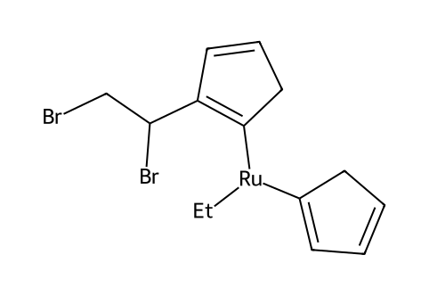 C[CH2][Ru]([C]1=CC=CC1)[C]1=C(C(Br)CBr)C=CC1